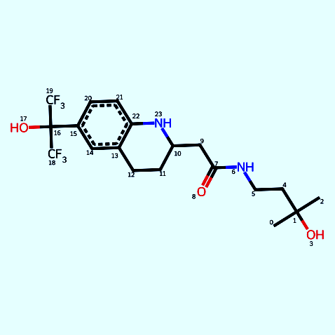 CC(C)(O)CCNC(=O)CC1CCc2cc(C(O)(C(F)(F)F)C(F)(F)F)ccc2N1